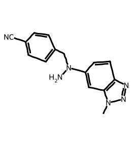 Cn1nnc2ccc(N(N)Cc3ccc(C#N)cc3)cc21